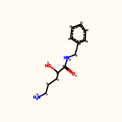 NCCCC(O)C(=O)NCc1ccccc1